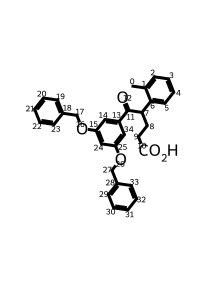 Cc1ccccc1C(CCC(=O)O)C(=O)c1cc(OCc2ccccc2)cc(OCc2ccccc2)c1